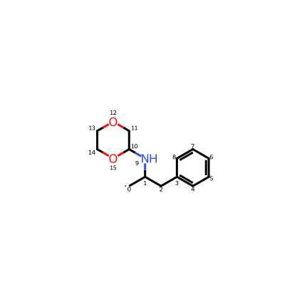 [CH2]C(Cc1ccccc1)NC1COCCO1